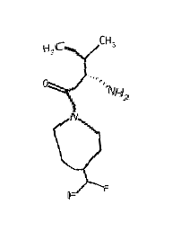 CC(C)[C@H](N)C(=O)N1CCC(C(F)F)CC1